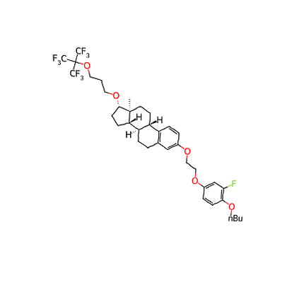 CCCCOc1ccc(OCCOc2ccc3c(c2)CC[C@@H]2[C@@H]3CC[C@]3(C)[C@@H](OCCCOC(C(F)(F)F)(C(F)(F)F)C(F)(F)F)CC[C@@H]23)cc1F